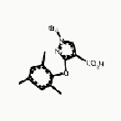 Cc1cc(C)c(Oc2nn(C(C)(C)C)cc2C(=O)O)c(C)c1